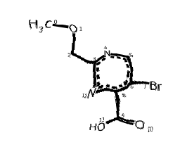 COCc1ncc(Br)c(C(=O)O)n1